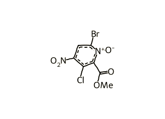 COC(=O)c1c(Cl)c([N+](=O)[O-])cc(Br)[n+]1[O-]